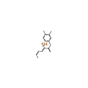 C=C(Cc1ccc(C)c(C)c1)/C(S)=C/C=C\C